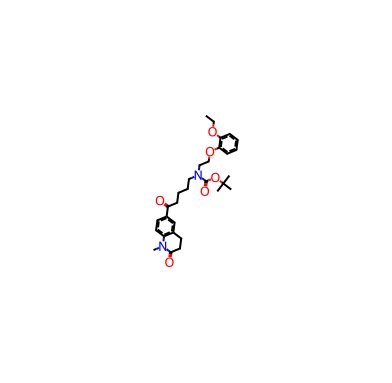 CCOc1ccccc1OCCN(CCCCC(=O)c1ccc2c(c1)CCC(=O)N2C)C(=O)OC(C)(C)C